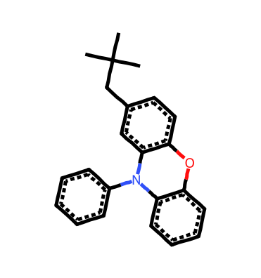 CC(C)(C)Cc1ccc2c(c1)N(c1ccccc1)c1ccccc1O2